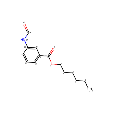 CCCCCCOC(=O)c1cccc(NC=O)c1